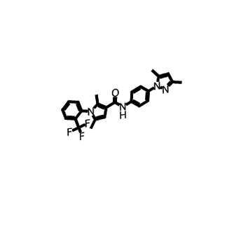 Cc1cc(C)n(-c2ccc(NC(=O)c3cc(C)n(-c4ccccc4C(F)(F)F)c3C)cc2)n1